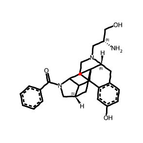 N[C@@H](CO)CN1CCC23c4cc(O)ccc4C[C@@H]1C21CCC2C3[C@@H](CN2C(=O)c2ccccc2)C1